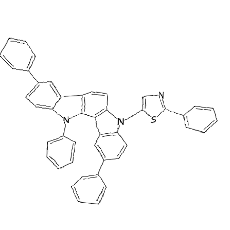 c1ccc(-c2ccc3c(c2)c2c(ccc4c5cc(-c6ccccc6)ccc5n(-c5ccccc5)c42)n3-c2cnc(-c3ccccc3)s2)cc1